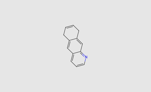 C1=CCc2cc3ncccc3cc2C1